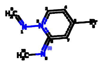 C=Nn1ccc(C(C)C)c/c1=N/C